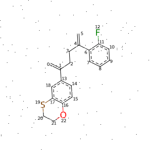 C=C(CCC(=C)c1ccccc1F)c1ccc2c(c1)SCCO2